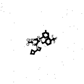 Cc1cccc(-c2nc3nc(C(=O)O)nc(N4CCC4C4CCC4)c3n2Cc2ccc(C(F)(F)F)cc2)c1